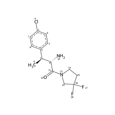 C[C@@H](c1ccc(Cl)cc1)[C@H](N)C(=O)N1CCC(F)(F)C1